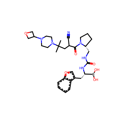 CC(C)(CC(C#N)C(=O)N1CCC[C@@H]1CNC(=O)N[C@@H](Cc1coc2ccccc12)B(O)O)N1CCN(C2COC2)CC1